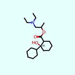 CCN(CC)CC(C)OC(=O)C1CCCC[C@]1(O)C1CCCCC1